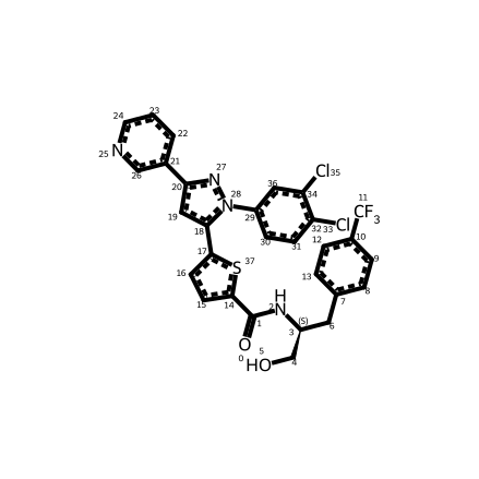 O=C(N[C@H](CO)Cc1ccc(C(F)(F)F)cc1)c1ccc(-c2cc(-c3cccnc3)nn2-c2ccc(Cl)c(Cl)c2)s1